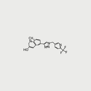 CN1CC(O)=Cc2cc(-c3cn(Cc4ccc(C(F)(F)F)nc4)nn3)ccc21